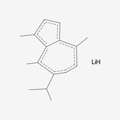 Cc1ccc(C(C)C)c(C)c2c(C)ccc1-2.[LiH]